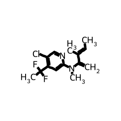 C=C(/C(C)=C/C)N(C)c1cc(C(C)(F)F)c(Cl)cn1